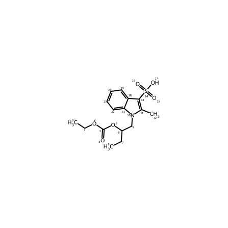 CCOC(=O)OC(CC)Cn1c(C)c(S(=O)(=O)O)c2ccccc21